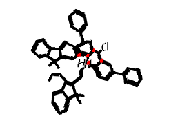 C=C(/C=C(Cl)\C=C(/Nc1ccc(-c2ccccc2)cc1)c1ccc2c(c1)C(C)(C)c1ccccc1-2)N(/C=C/C1=C(/C=C\C)c2ccccc2C1(C)C)c1ccc(-c2ccccc2)cc1